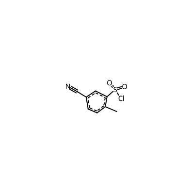 Cc1ccc(C#N)cc1S(=O)(=O)Cl